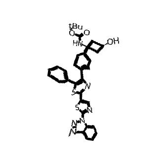 CC(C)(C)OC(=O)N[C@]1(c2ccc(-c3nc(-c4cnc(-n5nnc6ccccc65)s4)sc3-c3ccccc3)cc2)C[C@@H](O)C1